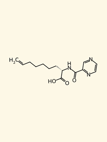 C=CCCCCC[C@H](NC(=O)c1cnccn1)C(=O)O